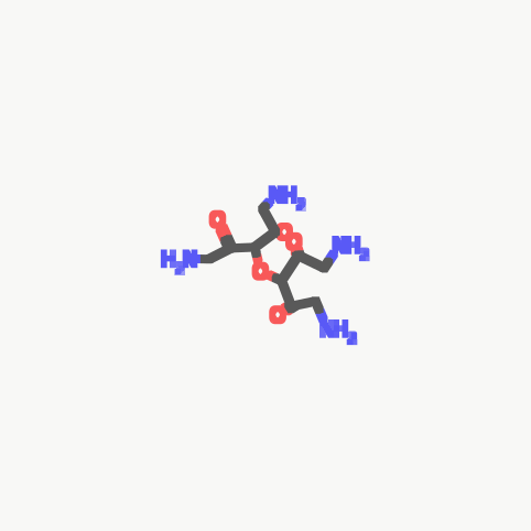 NCC(=O)C(OC(C(=O)CN)C(=O)CN)C(=O)CN